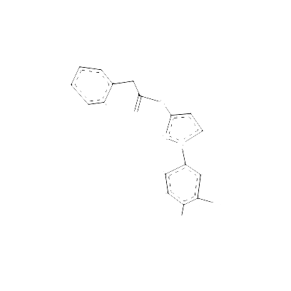 O=C(Cc1ccccc1)Nc1ccn(-c2ccc(F)c(F)c2)n1